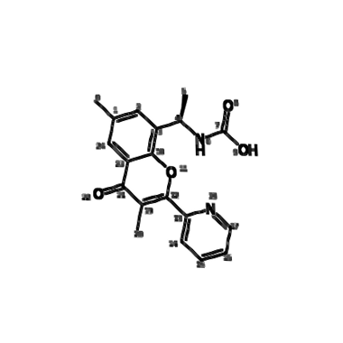 Cc1cc([C@@H](C)NC(=O)O)c2oc(-c3ccccn3)c(C)c(=O)c2c1